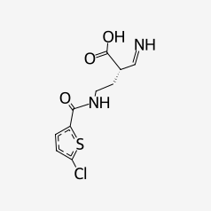 N=C[C@H](CCNC(=O)c1ccc(Cl)s1)C(=O)O